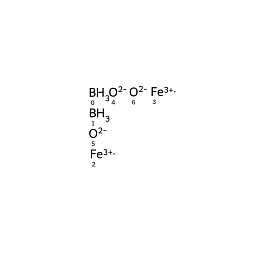 B.B.[Fe+3].[Fe+3].[O-2].[O-2].[O-2]